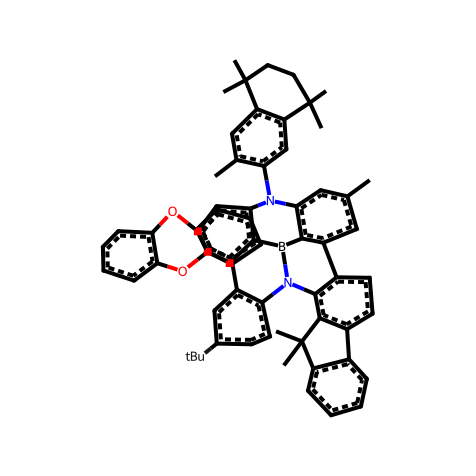 Cc1cc2c3c(c1)N(c1cc4c(cc1C)C(C)(C)CCC4(C)C)c1cc4c(cc1B3N(c1ccc(C(C)(C)C)cc1-c1ccccc1)c1c-2ccc2c1C(C)(C)c1ccccc1-2)Oc1ccccc1O4